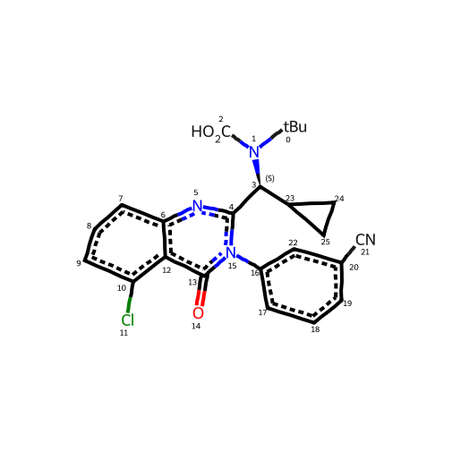 CC(C)(C)N(C(=O)O)[C@H](c1nc2cccc(Cl)c2c(=O)n1-c1cccc(C#N)c1)C1CC1